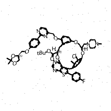 Cc1c2ccc(c1Cl)O[C@H](CN1CCN(C)CC1)COc1ccc(OCc3ccnc(-c4ccc(OC[C@H]5COC(C)(C)O5)cc4)n3)c(c1)C[C@H](C(=O)OC(C)(C)C)Oc1ncnc3sc(-c4ccc(F)cc4)c-2c13